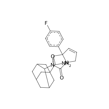 NC(=O)C12CC3CC(C1)C(N1CC4(c5ccc(F)cc5)C=CCN4C1=O)C(C3)C2